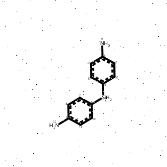 Nc1ccc([SiH2]c2ccc(N)cc2)cc1